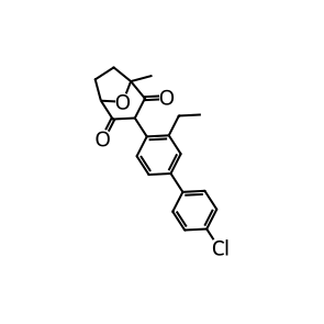 CCc1cc(-c2ccc(Cl)cc2)ccc1C1C(=O)C2CCC(C)(O2)C1=O